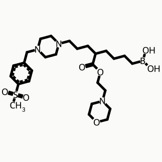 CS(=O)(=O)c1ccc(CN2CCN(CCCC(CCCCB(O)O)C(=O)OCCN3CCOCC3)CC2)cc1